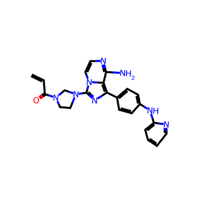 C=CC(=O)N1CCN(c2nc(-c3ccc(Nc4ccccn4)cc3)c3c(N)nccn23)C1